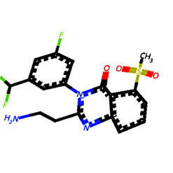 CS(=O)(=O)c1cccc2nc(CCN)n(-c3cc(F)cc(C(F)F)c3)c(=O)c12